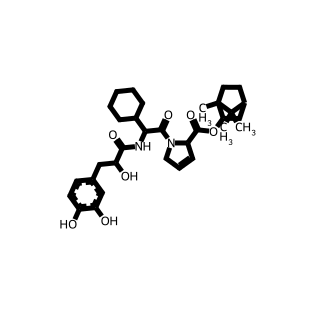 CC1(C)C2CCC1(C)C(OC(=O)C1C=CCN1C(=O)C(NC(=O)C(O)Cc1ccc(O)c(O)c1)C1CCCCC1)C2